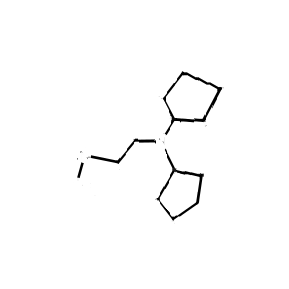 O=C(O)NCCN(C1CCCC1)C1CCCC1